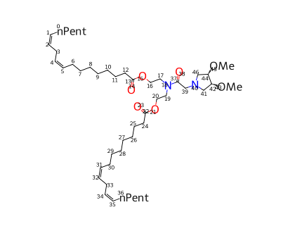 CCCCC/C=C\C/C=C\CCCCCCCC(=O)OCCN(CCOC(=O)CCCCCCC/C=C\C/C=C\CCCCC)C(=O)CN1C[C@H](OC)[C@H](OC)C1